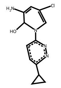 NC1=CC(Cl)=CN(c2ccc(C3CC3)nn2)C1O